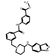 COC(=O)c1cccc(NC(=O)c2cccc(CN3CCCC(Nc4ccc5[nH]ncc5c4)C3)c2)c1